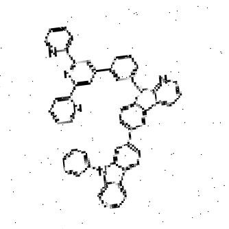 c1ccc(-n2c3ccccc3c3ccc(-c4ccc5c(c4)c4cccnc4n5-c4cccc(-c5cc(-c6ccccn6)nc(-c6ccccn6)c5)c4)cc32)cc1